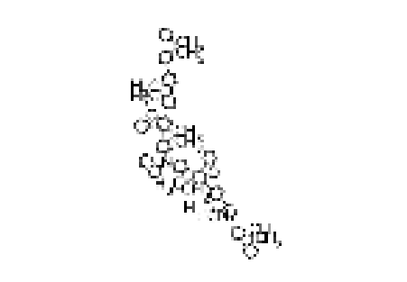 CC1(C)c2ccccc2-c2ccc(-c3ccc4c(c3)C(C)(C)c3cc(-c5cc6c(c7c5oc5ccccc57)-c5ccc(N(c7ccc8c(c7)C(C)(C)c7cc(-c9ccc%10c(c9)C(C)(C)c9cc(-c%11ccc%12c(c%11)C(C)(C)c%11ccccc%11-%12)ccc9-%10)c9oc%10ccccc%10c9c7-8)c7cccc8ccccc78)cc5C6(C)C)ccc3-4)cc21